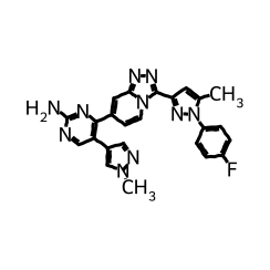 Cc1cc(-c2nnc3cc(-c4nc(N)ncc4-c4cnn(C)c4)ccn23)nn1-c1ccc(F)cc1